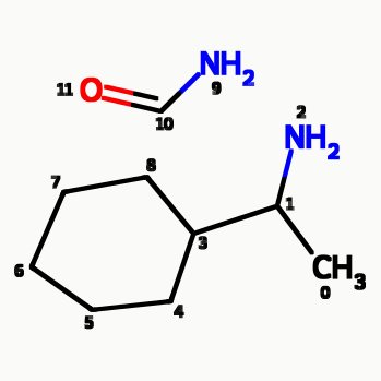 CC(N)C1CCCCC1.NC=O